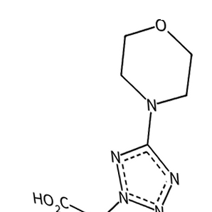 O=C(O)Cn1nnc(N2CCOCC2)n1